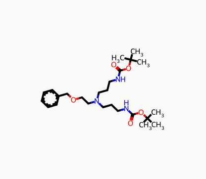 CC(C)(C)OC(=O)NCCCN(CCCNC(=O)OC(C)(C)C)CCOCc1ccccc1